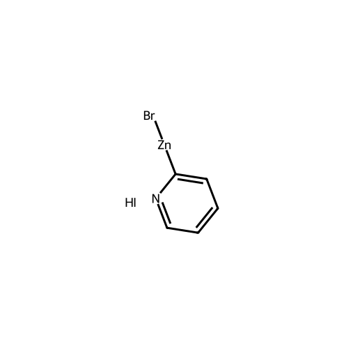 I.[Br][Zn][c]1ccccn1